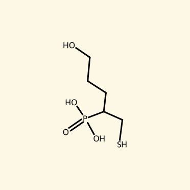 O=P(O)(O)C(CS)CCCO